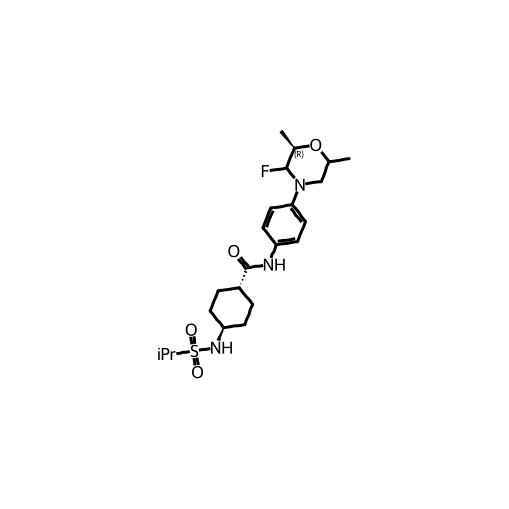 CC1CN(c2ccc(NC(=O)[C@H]3CC[C@H](NS(=O)(=O)C(C)C)CC3)cc2)C(F)[C@@H](C)O1